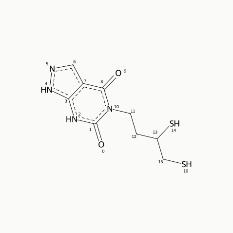 O=c1[nH]c2[nH]ncc2c(=O)n1CCC(S)CS